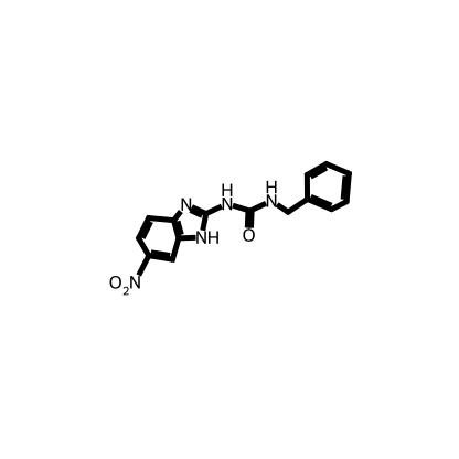 O=C(NCc1ccccc1)Nc1nc2ccc([N+](=O)[O-])cc2[nH]1